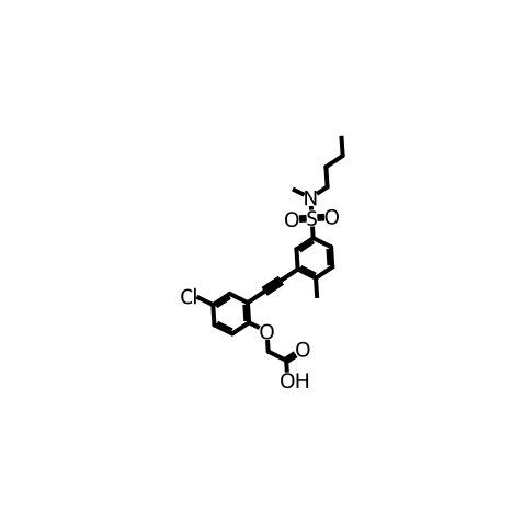 CCCCN(C)S(=O)(=O)c1ccc(C)c(C#Cc2cc(Cl)ccc2OCC(=O)O)c1